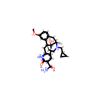 COc1ccc2c(c1)[C@]13CCN(CC4CC4)[C@H](C2)[C@]1(O)Cc1cc(C(N)=O)c(=O)[nH]c1C3